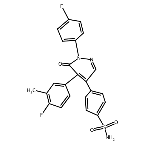 Cc1cc(-c2c(-c3ccc(S(N)(=O)=O)cc3)cnn(-c3ccc(F)cc3)c2=O)ccc1F